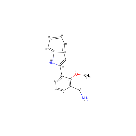 COc1c(CN)cccc1-c1cc2ccccc2[nH]1